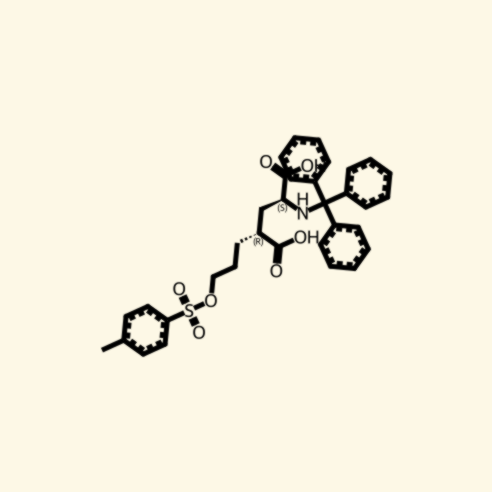 Cc1ccc(S(=O)(=O)OCCC[C@H](C[C@H](NC(c2ccccc2)(c2ccccc2)c2ccccc2)C(=O)O)C(=O)O)cc1